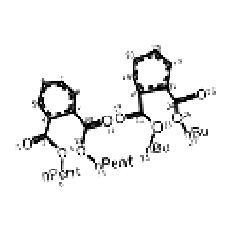 CCCCCOC(=O)c1ccccc1C(=O)OCCCCC.CCCCOC(=O)c1ccccc1C(=O)OCCCC